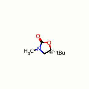 CN1C[C@@H](C(C)(C)C)OC1=O